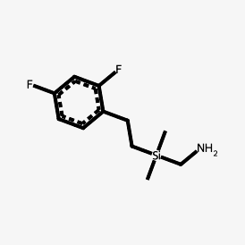 C[Si](C)(CN)CCc1ccc(F)cc1F